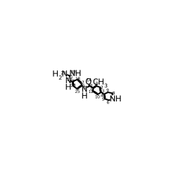 Cc1cc(C2=CCNCC2)ccc1C(=O)Nc1ccc(NC(=N)N)cc1